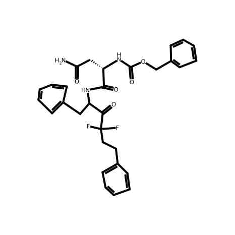 NC(=O)C[C@H](NC(=O)OCc1ccccc1)C(=O)NC(Cc1ccccc1)C(=O)C(F)(F)CCc1ccccc1